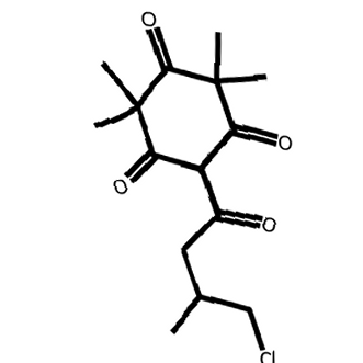 CC(CCl)CC(=O)C1C(=O)C(C)(C)C(=O)C(C)(C)C1=O